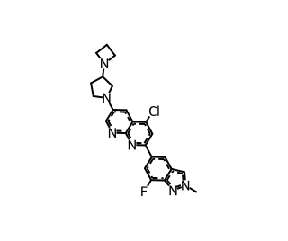 Cn1cc2cc(-c3cc(Cl)c4cc(N5CCC(N6CCC6)C5)cnc4n3)cc(F)c2n1